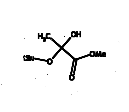 COC(=O)C(C)(O)OC(C)(C)C